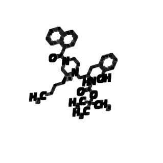 CCCC[C@H]1CN(C(=O)c2cccc3ccccc23)CCN1CC(Cc1ccccc1O)NC(=O)OC(C)(C)C